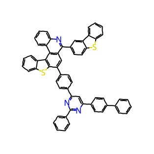 c1ccc(-c2ccc(-c3cc(-c4ccc(-c5cc6c(-c7ccc8sc9ccccc9c8c7)nc7ccccc7c6c6c5sc5ccccc56)cc4)nc(-c4ccccc4)n3)cc2)cc1